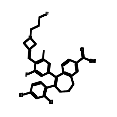 Cc1cc(C2=C(c3ccc(Cl)cc3Cl)CCCc3cc(C(=O)O)ccc32)cc(F)c1C=C1CN(CCCF)C1